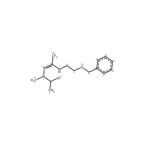 CC(Cl)N(C)/N=C(\NCCOCc1ccccc1)C(F)(F)F